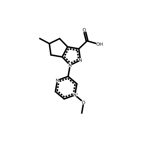 CO[n+]1ccnc(-n2nc(C(=O)O)c3c2CC(C)C3)c1